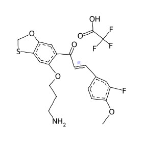 COc1ccc(/C=C/C(=O)c2cc3c(cc2OCCCN)SCO3)cc1F.O=C(O)C(F)(F)F